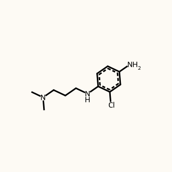 CN(C)CCCNc1ccc(N)cc1Cl